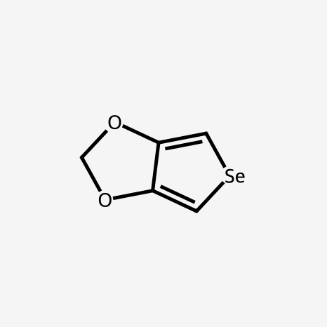 c1[se]cc2c1OCO2